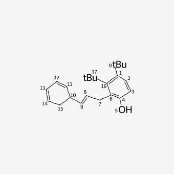 CC(C)(C)c1ccc(O)c(CC=CC2C=CC=CC2)c1C(C)(C)C